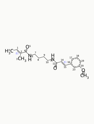 C/C=C(\C)C(=O)NCCCCNC(=O)/C=C/c1cccc(OC)c1